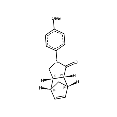 COc1ccc(N2C[C@@H]3[C@H](C2=O)[C@@H]2C=C[C@H]3C2)cc1